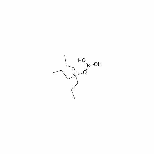 CCC[Si](CCC)(CCC)OB(O)O